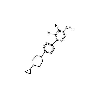 Cc1ccc(-c2ccc(C3CCC(C4CC4)CC3)cc2)c(F)c1F